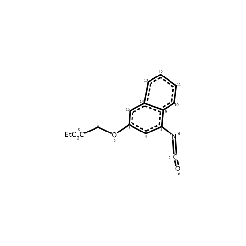 CCOC(=O)COc1cc(N=C=O)c2ccccc2c1